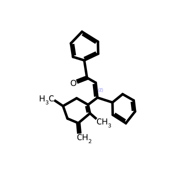 C=C1CC(C)CC(/C(=C\C(=O)c2ccccc2)C2C=CC=CC2)=C1C